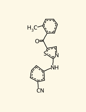 Cc1ccccc1C(=O)c1cnc(Nc2cccc(C#N)c2)s1